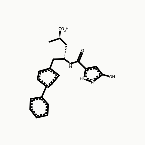 C[C@H](C[C@@H](Cc1ccc(-c2ccccc2)cc1)NC(=O)c1cc(O)n[nH]1)C(=O)O